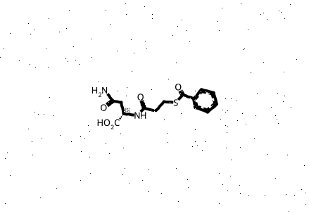 NC(=O)C[C@H](NC(=O)CCSC(=O)c1ccccc1)C(=O)O